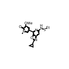 CCSNc1cc2nc(C3CC3)oc2c(-c2cc(OC)c(=O)n(C)c2)n1